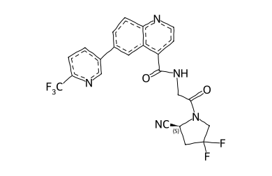 N#C[C@@H]1CC(F)(F)CN1C(=O)CNC(=O)c1ccnc2ccc(-c3ccc(C(F)(F)F)nc3)cc12